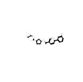 C[C@H](CO)NC(=O)[C@@H]1CC[C@H](NC(=O)c2ccc(-c3cccc(F)c3)nc2)C1